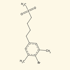 Cc1cc(CCCCS(C)(=O)=O)cc(C)c1Br